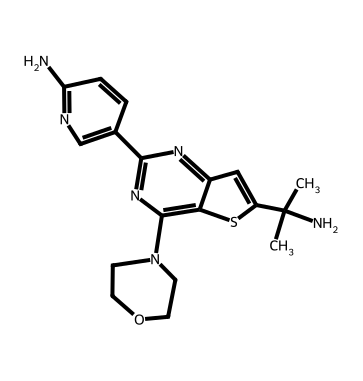 CC(C)(N)c1cc2nc(-c3ccc(N)nc3)nc(N3CCOCC3)c2s1